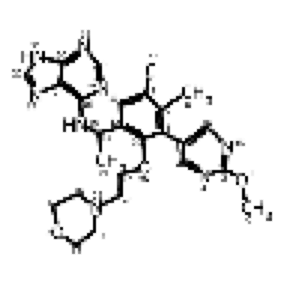 COc1ncc(-c2c(C)c(Cl)cc(C(C)Nc3ncnc4[nH]cnc34)c2OCCN2CCOCC2)cn1